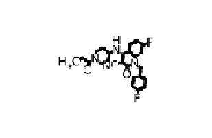 C=CC(=O)N1CCC(Nc2c(C#N)c(=O)n(Cc3ccc(F)cc3)c3cc(F)ccc23)CC1